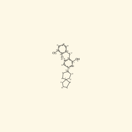 Oc1nc(N2CCC3(CCCC3)CC2)cnc1Sc1cccc(Cl)c1Cl